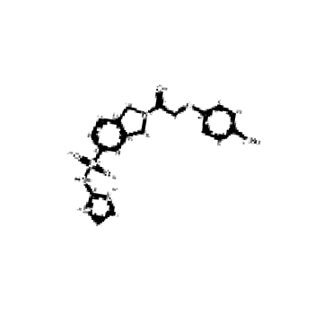 CC(C)(C)c1ccc(OCC(=O)N2Cc3ccc(S(=O)(=O)Nc4nccs4)cc3C2)cc1